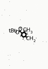 [CH2]c1ccc(C(=O)OC(C)(C)C)c(C)c1